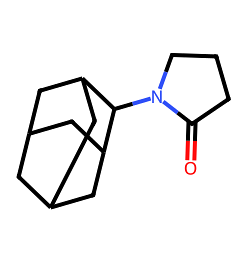 O=C1CCCN1C1C2CC3CC(C2)CC1C3